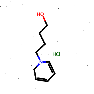 Cl.OCCCCN1C=CC=CC1